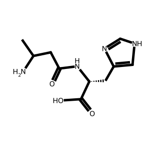 CC(N)CC(=O)N[C@H](Cc1c[nH]cn1)C(=O)O